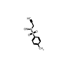 C#CCN(N=O)S(=O)(=O)c1ccc(C)cc1